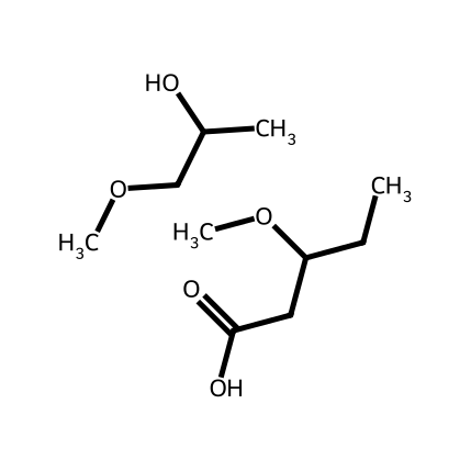 CCC(CC(=O)O)OC.COCC(C)O